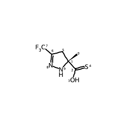 C[C@]1(C(O)=S)CC(C(F)(F)F)=NN1